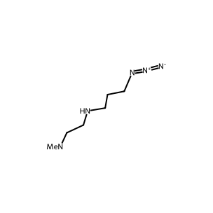 CNCCNCCCN=[N+]=[N-]